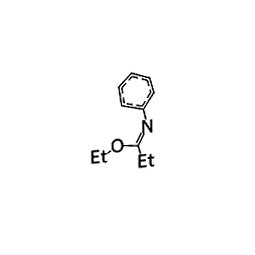 CCOC(CC)=Nc1ccccc1